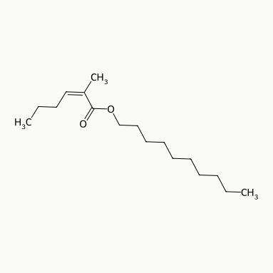 CCCC=C(C)C(=O)OCCCCCCCCCC